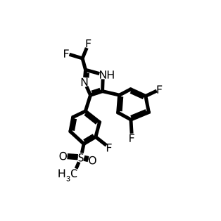 CS(=O)(=O)c1ccc(-c2nc(C(F)F)[nH]c2-c2cc(F)cc(F)c2)cc1F